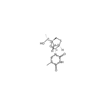 Cc1cn([C@@H]2O[C@@]3([C@@H](C)O)CS[C@@H]2[C@@H]3C)c(=O)[nH]c1=O